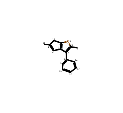 CC1=Cc2c(sc(C)c2-c2ccccc2)C1